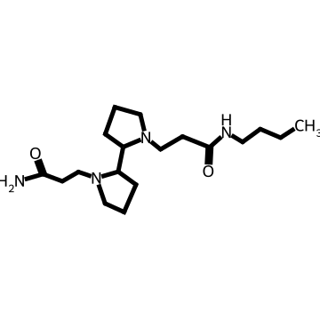 CCCCNC(=O)CCN1CCCC1C1CCCN1CCC(N)=O